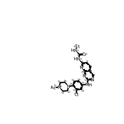 CCNC(=O)Nc1ccc2cnc(Nc3ccc(N4CCN(C(C)=O)CC4)c(Cl)c3)nc2n1